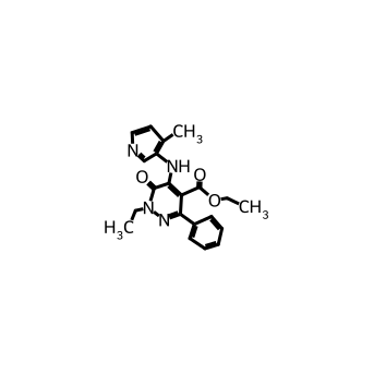 CCOC(=O)c1c(-c2ccccc2)nn(CC)c(=O)c1Nc1cnccc1C